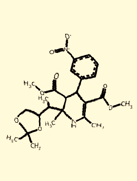 COC(=O)C1=C(C)NC(C)(C(C)C2COC(C)(C)O2)C(C(=O)OC)C1c1cccc([N+](=O)[O-])c1